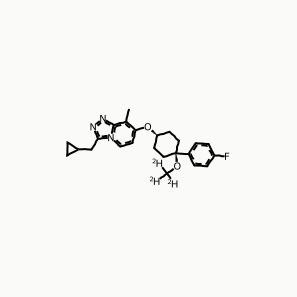 [2H]C([2H])([2H])O[C@]1(c2ccc(F)cc2)CC[C@H](Oc2ccn3c(CC4CC4)nnc3c2C)CC1